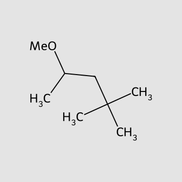 COC(C)CC(C)(C)C